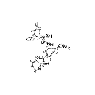 COc1ccc(-c2nc3cccnc3[nH]2)cc1NC(=O)N(S)c1cc(Cl)cc(Cl)c1